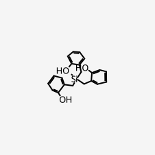 C[Si](Cc1ccccc1O)(Cc1ccccc1O)Cc1ccccc1O